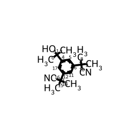 CC(C)(O)c1cc(C(C)(C)C#N)cc(C(C)(C)C#N)c1